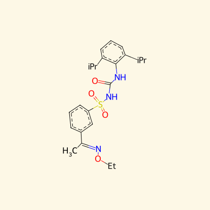 CCON=C(C)c1cccc(S(=O)(=O)NC(=O)Nc2c(C(C)C)cccc2C(C)C)c1